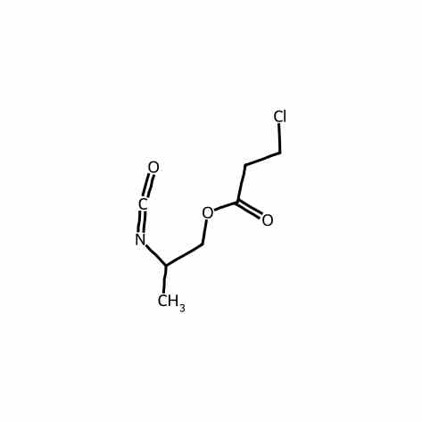 CC(COC(=O)CCCl)N=C=O